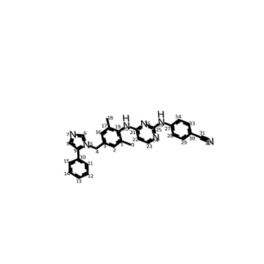 Cc1cc(Cn2cncc2-c2ccccc2)cc(C)c1Nc1ccnc(Nc2ccc(C#N)cc2)n1